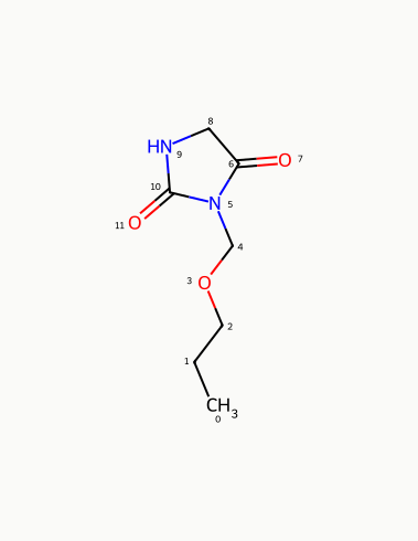 CCCOCN1C(=O)CNC1=O